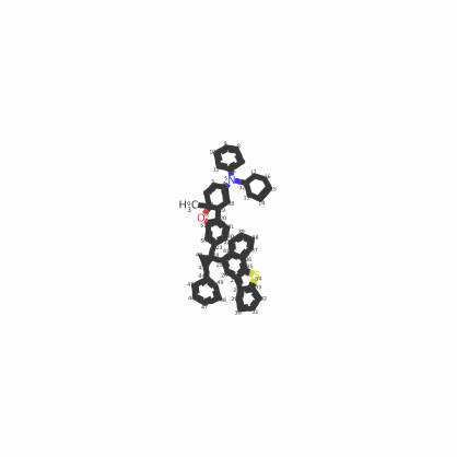 CC12C=CC(N(c3ccccc3)C3CC=CCC3)=CC1c1ccc(C3(c4cc5c6ccccc6sc5c5ccccc45)CC3c3ccccc3)cc1O2